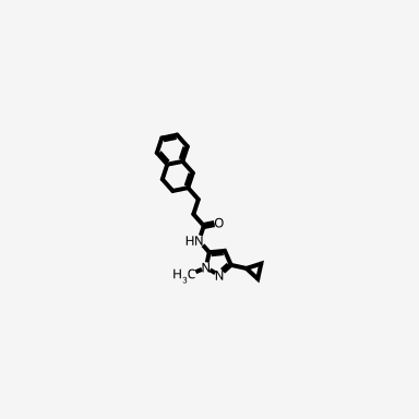 Cn1nc(C2CC2)cc1NC(=O)CCC1=Cc2ccccc2CC1